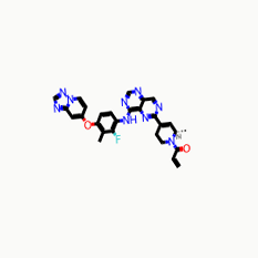 C=CC(=O)N1CCC(c2ncc3ncnc(Nc4ccc(Oc5ccn6ncnc6c5)c(C)c4F)c3n2)=C[C@@H]1C